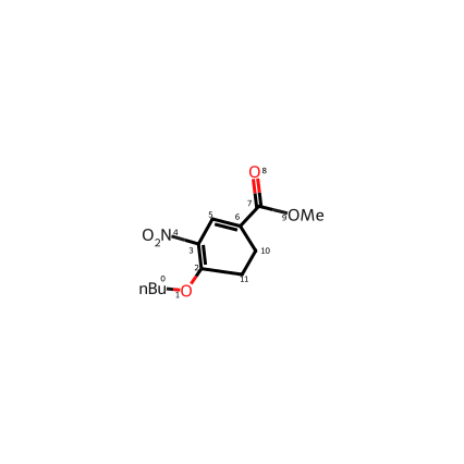 CCCCOC1=C([N+](=O)[O-])C=C(C(=O)OC)CC1